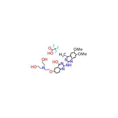 COc1cc2nc(Nc3nc(O)c4cc(OCCN(CCO)CCO)ccc4n3)nc(C)c2cc1OC.O=C(O)C(F)(F)F